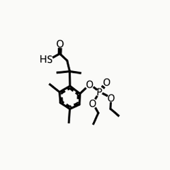 CCOP(=O)(OCC)Oc1cc(C)cc(C)c1C(C)(C)CC(=O)S